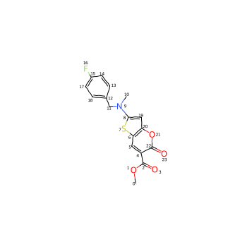 COC(=O)c1cc2sc(N(C)Cc3ccc(F)cc3)cc2oc1=O